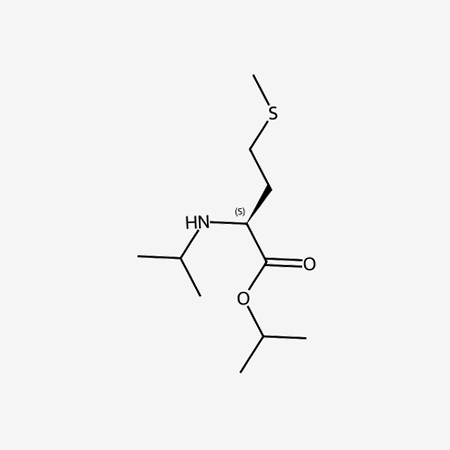 CSCC[C@H](NC(C)C)C(=O)OC(C)C